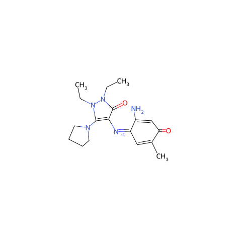 CCn1c(N2CCCC2)c(/N=C2/C=C(C)C(=O)C=C2N)c(=O)n1CC